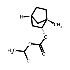 CC(Cl)OC(=O)O[C@@H]1C[C@@H]2CC[C@@]1(C)C2